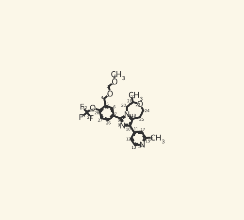 COCOCc1cc(-c2nc(-c3ccnc(C)c3)c3n2CC(C)OCC3)ccc1OC(F)(F)F